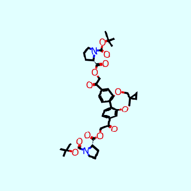 CC(C)(C)OC(=O)N1CCC[C@H]1C(=O)OCC(=O)c1ccc2c(c1)OCC1(CC1)COc1cc(C(=O)COC(=O)[C@@H]3CCCN3C(=O)OC(C)(C)C)ccc1-2